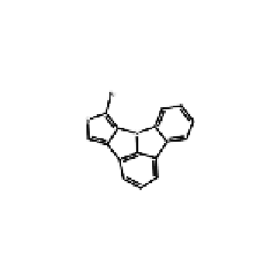 Brc1scc2c3cccc4c5ccccc5n(c12)c43